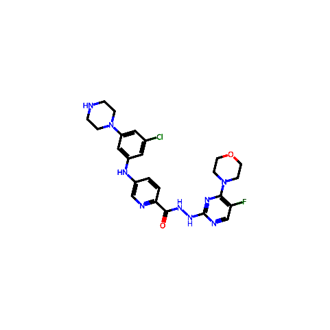 O=C(NNc1ncc(F)c(N2CCOCC2)n1)c1ccc(Nc2cc(Cl)cc(N3CCNCC3)c2)cn1